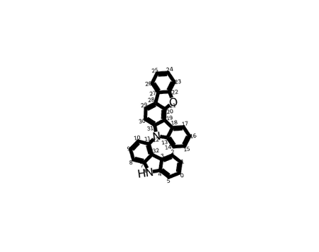 c1ccc2c(c1)[nH]c1cccc(-n3c4ccccc4c4c5oc6ccccc6c5ccc43)c12